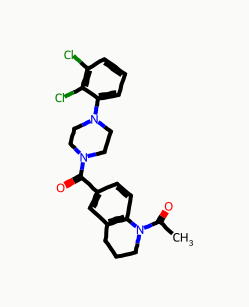 CC(=O)N1CCCc2cc(C(=O)N3CCN(c4cccc(Cl)c4Cl)CC3)ccc21